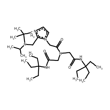 CCC(CC)(CC)NC(=O)CN(CC(=O)NC(CC)(CC)CC)C(=O)Cn1ccnc1CN(C(C)C)C(C)(C)C